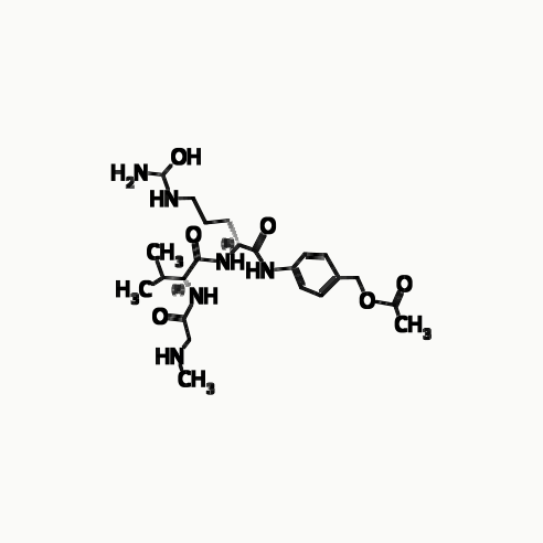 CNCC(=O)N[C@@H](C(=O)N[C@H](CCCNC(N)O)C(=O)Nc1ccc(COC(C)=O)cc1)C(C)C